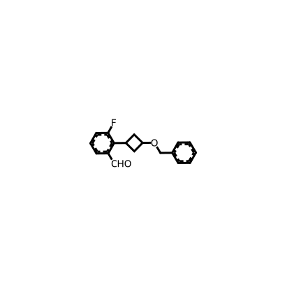 O=Cc1cccc(F)c1C1CC(OCc2ccccc2)C1